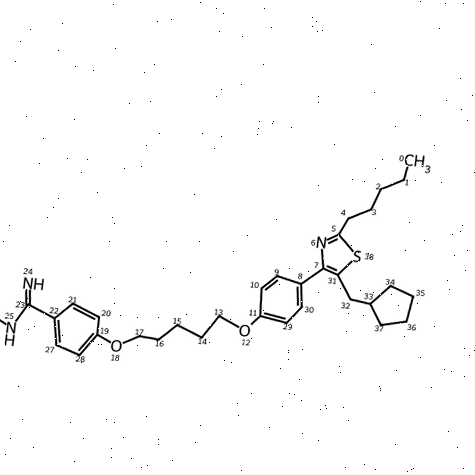 CCCCCc1nc(-c2ccc(OCCCCCOc3ccc(C(=N)NO)cc3)cc2)c(CC2CCCC2)s1